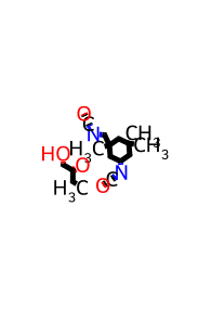 CC1(C)CC(N=C=O)CC(C)(CN=C=O)C1.CCC(=O)CO